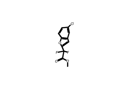 COC(=O)C(F)(F)c1cc2cc(Cl)ccc2o1